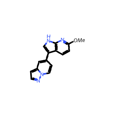 COc1ccc2c(-c3ccn4nccc4c3)c[nH]c2n1